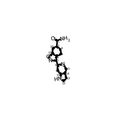 NC(=O)c1ccc2c(-c3cc4[nH]ccc4cn3)noc2c1